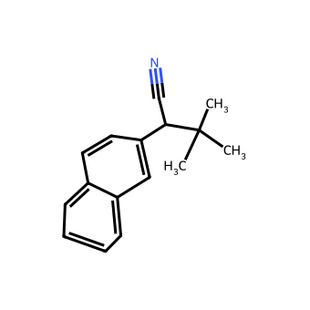 CC(C)(C)C(C#N)c1ccc2ccccc2c1